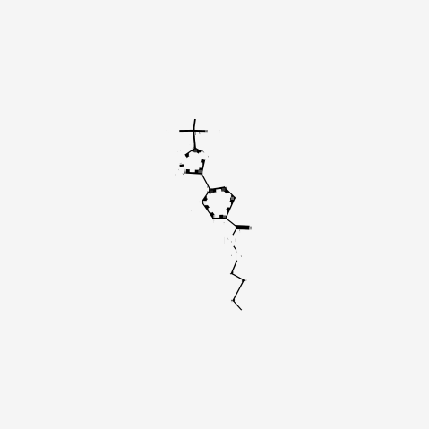 CCCCNNC(=O)c1ccc(-c2noc(C(F)(F)F)n2)cc1.Cl